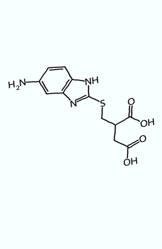 Nc1ccc2[nH]c(SCC(CC(=O)O)C(=O)O)nc2c1